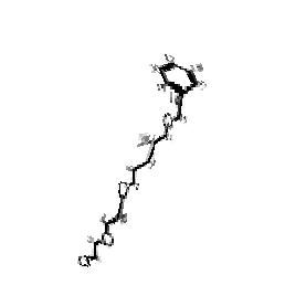 O=CCOCCOCCCCCOCc1ccccc1